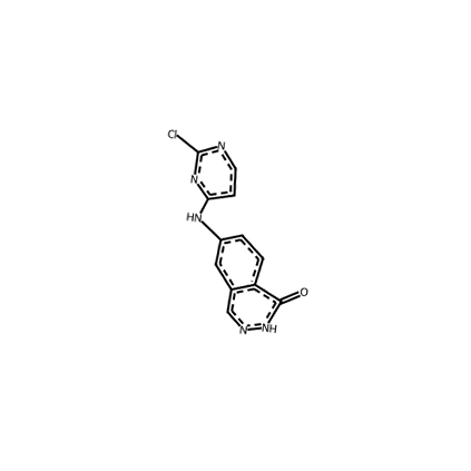 O=c1[nH]ncc2cc(Nc3ccnc(Cl)n3)ccc12